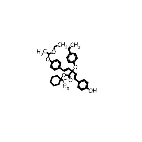 C=Cc1ccc(OC(C=Cc2ccc(O)cc2)(C=Cc2ccc(OC(C)OCC)cc2)C(=O)OC2(C)CCCCC2)cc1